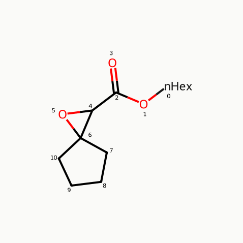 CCCCCCOC(=O)C1OC12CCCC2